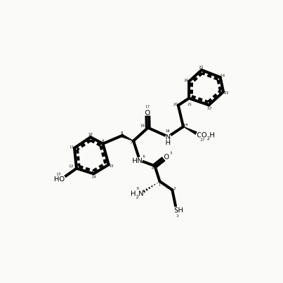 N[C@@H](CS)C(=O)N[C@@H](Cc1ccc(O)cc1)C(=O)N[C@@H](Cc1ccccc1)C(=O)O